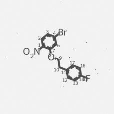 O=[N+]([O-])c1ccc(Br)cc1OCCc1ccc(F)cc1